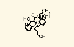 CC(O)CNC(=O)C1=C(O)c2ncccc2[N+](CCCO)(Cc2ccc(F)cc2)C1=O